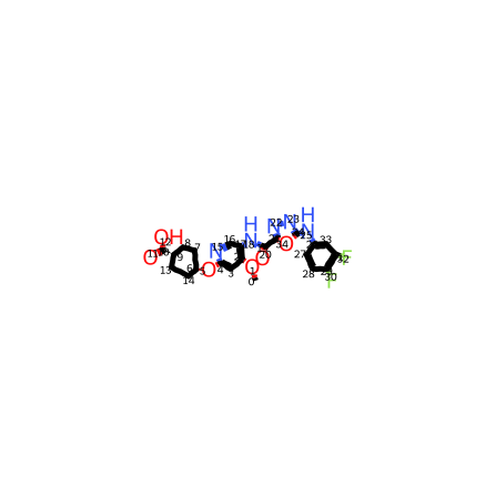 COc1cc(O[C@H]2CC[C@@H](C(=O)O)CC2)ncc1NC(=O)c1nnc(Nc2ccc(F)c(F)c2)o1